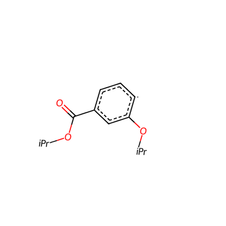 CC(C)OC(=O)c1cc[c]c(OC(C)C)c1